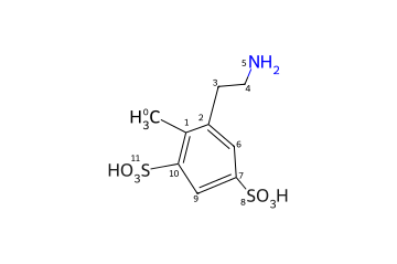 Cc1c(CCN)cc(S(=O)(=O)O)cc1S(=O)(=O)O